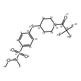 CON(C)S(=O)(=O)c1ccc(SC2CCN(C(=O)C(F)(F)F)CC2)cc1